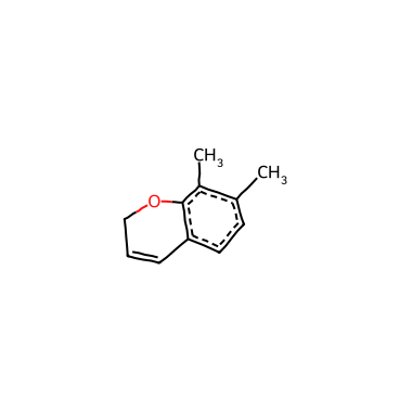 Cc1ccc2c(c1C)OCC=C2